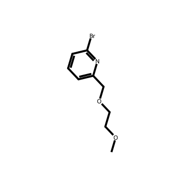 COCCOCc1cccc(Br)n1